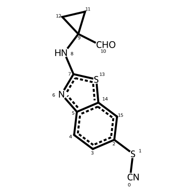 N#CSc1ccc2nc(NC3(C=O)CC3)sc2c1